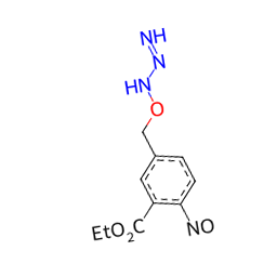 CCOC(=O)c1cc(CONN=N)ccc1N=O